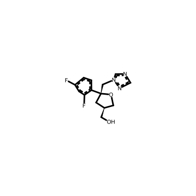 OC[C@@H]1CO[C@@](Cn2cncn2)(c2ccc(F)cc2F)C1